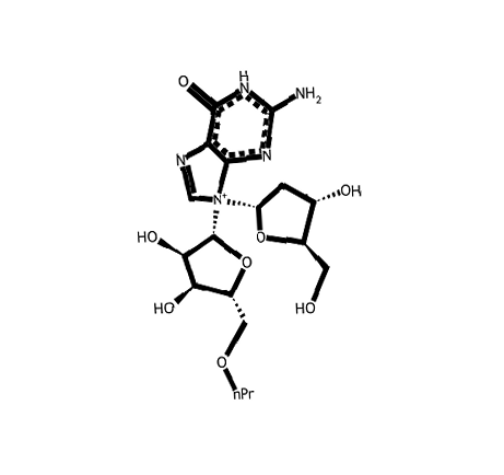 CCCOC[C@H]1O[C@@H]([N+]2([C@@H]3C[C@H](O)[C@@H](CO)O3)C=Nc3c2nc(N)[nH]c3=O)[C@H](O)[C@@H]1O